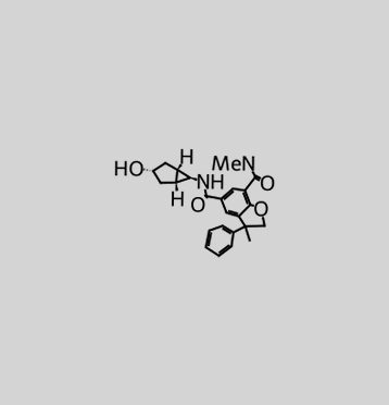 CNC(=O)c1cc(C(=O)N[C@H]2[C@@H]3C[C@H](O)C[C@@H]32)cc2c1OCC2(C)c1ccccc1